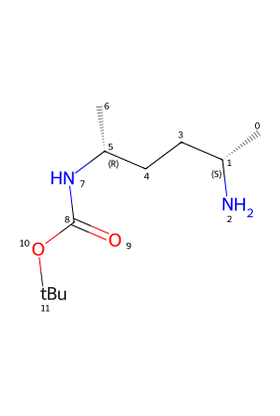 C[C@H](N)CC[C@@H](C)NC(=O)OC(C)(C)C